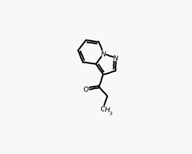 CCC(=O)c1cnn2ccccc12